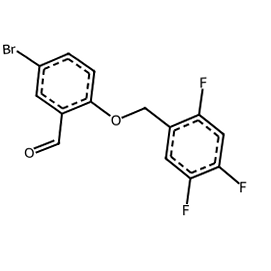 O=Cc1cc(Br)ccc1OCc1cc(F)c(F)cc1F